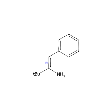 CC(C)(C)/C(N)=C/c1ccccc1